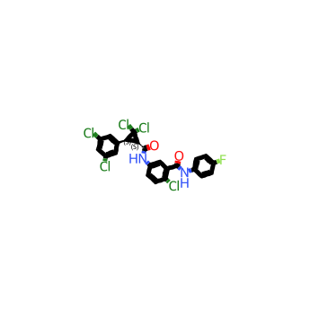 O=C(Nc1ccc(F)cc1)c1cc(NC(=O)[C@@H]2[C@@H](c3cc(Cl)cc(Cl)c3)C2(Cl)Cl)ccc1Cl